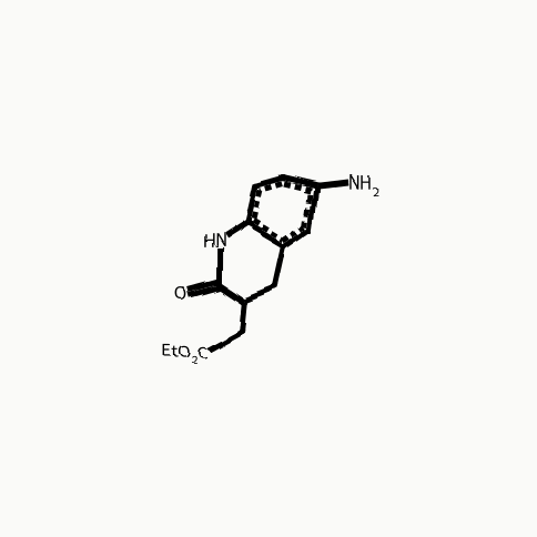 CCOC(=O)CC1Cc2cc(N)ccc2NC1=O